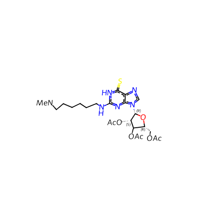 CNCCCCCCNc1nc2c(ncn2[C@@H]2O[C@H](COC(C)=O)C(OC(C)=O)[C@@H]2OC(C)=O)c(=S)[nH]1